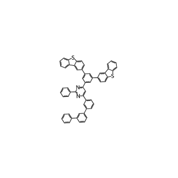 c1ccc(-c2cccc(-c3cccc(-c4cc(-c5cc(-c6ccc7sc8ccccc8c7c6)cc(-c6ccc7sc8ccccc8c7c6)c5)nc(-c5ccccc5)n4)c3)c2)cc1